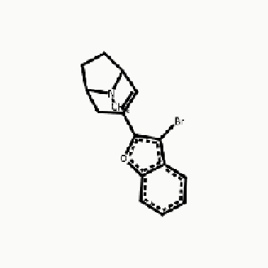 CN1C2C=C(c3oc4ccccc4c3Br)CC1CC2